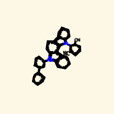 N#Cc1cccc(C#N)c1-n1c2ccccc2c2ccc3c(c4ccccc4n3-c3cccc(-c4ccccc4)c3)c21